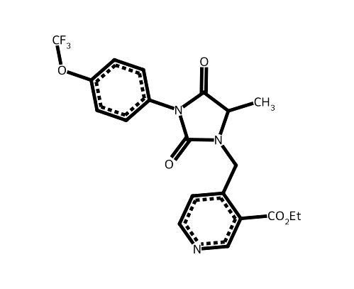 CCOC(=O)c1cnccc1CN1C(=O)N(c2ccc(OC(F)(F)F)cc2)C(=O)C1C